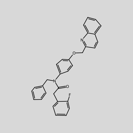 O=C(Cc1ccccc1F)N(Cc1ccccc1)c1ccc(OCc2ccc3ccccc3n2)cc1